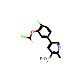 CCOC(=O)c1cc(-c2ccc(F)c(OC(F)F)c2)cnc1C